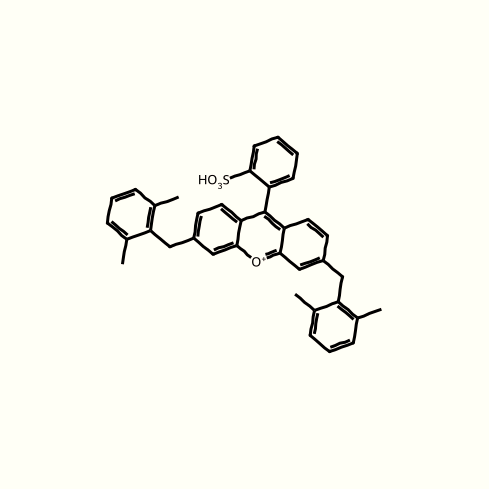 Cc1cccc(C)c1Cc1ccc2c(-c3ccccc3S(=O)(=O)O)c3ccc(Cc4c(C)cccc4C)cc3[o+]c2c1